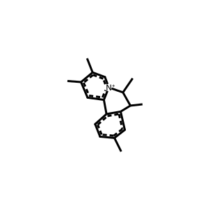 Cc1ccc2c(c1)C(C)C(C)[n+]1cc(C)c(C)cc1-2